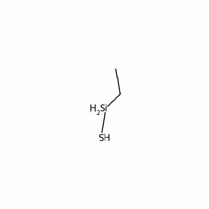 CC[SiH2]S